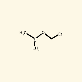 CCCOP(C)C